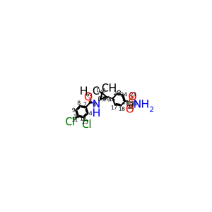 CC1(C)[C@@H](NC(=O)c2ccc(Cl)c(Cl)c2)[C@@H]1C1C=CC(S(N)(=O)=O)=CC1